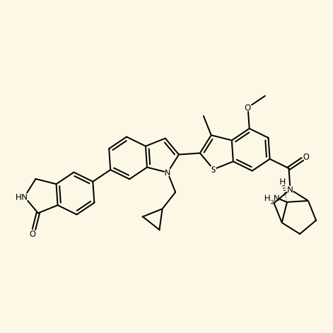 COc1cc(C(=O)N2CC3CCC2[C@@H]3N)cc2sc(-c3cc4ccc(-c5ccc6c(c5)CNC6=O)cc4n3CC3CC3)c(C)c12